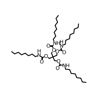 CCCCCCCCNC(=O)OCC(COC(=O)NCCCCCCCC)(COC(=O)NCCCCCCCC)COC(=O)NCCCCCCCC